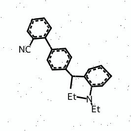 CCN(CC)c1ccccc1C(C)c1ccc(-c2ccccc2C#N)cc1